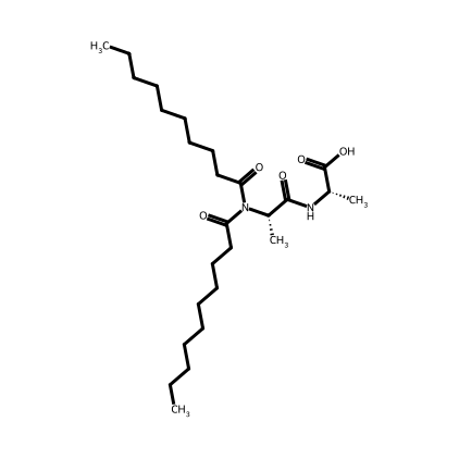 CCCCCCCCCC(=O)N(C(=O)CCCCCCCCC)[C@@H](C)C(=O)N[C@@H](C)C(=O)O